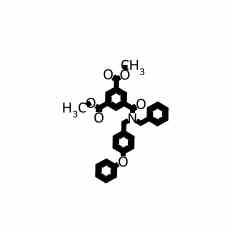 COC(=O)c1cc(C(=O)OC)cc(C(=O)N(Cc2ccccc2)Cc2ccc(Oc3ccccc3)cc2)c1